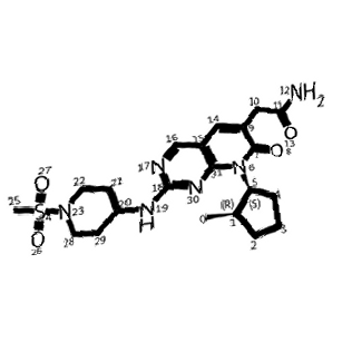 C[C@@H]1CCC[C@@H]1n1c(=O)c(CC(N)=O)cc2cnc(NC3CCN(S(C)(=O)=O)CC3)nc21